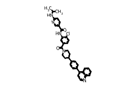 CC(C)Nc1ccc(C(=O)Nc2cc(C(=O)N3CCC(c4ccc(-c5ccnc6ccccc56)cc4)CC3)ccc2Cl)cn1